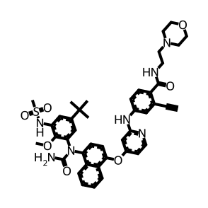 C#Cc1cc(Nc2cc(Oc3ccc(N(C(N)=O)c4cc(C(C)(C)C)cc(NS(C)(=O)=O)c4OC)c4ccccc34)ccn2)ccc1C(=O)NCCN1CCOCC1